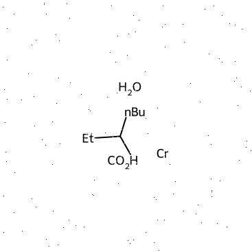 CCCCC(CC)C(=O)O.O.[Cr]